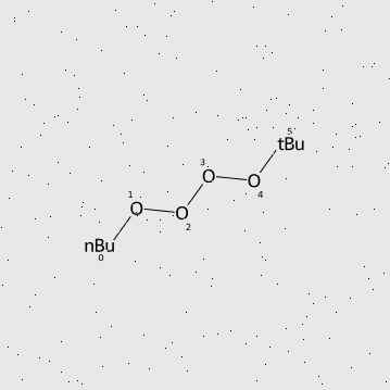 CCCCOOOOC(C)(C)C